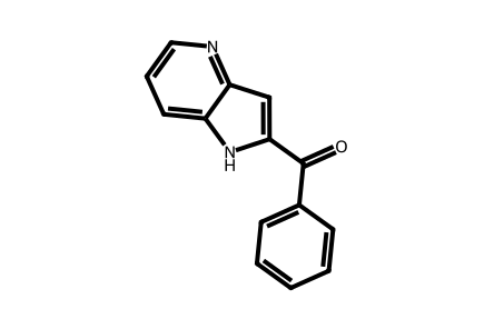 O=C(c1ccccc1)c1cc2ncccc2[nH]1